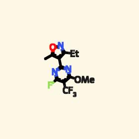 CCc1noc(C)c1-c1nc(F)c(C(F)(F)F)c(OC)n1